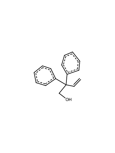 C=CC(CO)(c1ccccc1)c1ccccc1